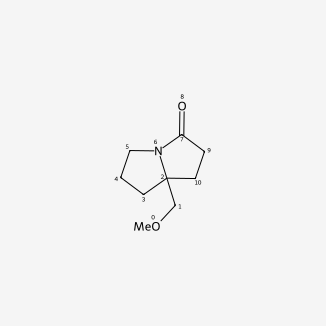 COCC12CCCN1C(=O)CC2